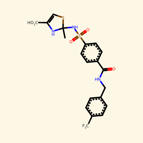 CC1(NS(=O)(=O)c2ccc(C(=O)NCc3ccc(C(F)(F)F)cc3)cc2)NC(C(=O)O)=CS1